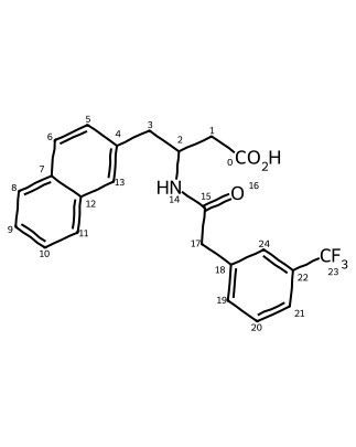 O=C(O)CC(Cc1ccc2ccccc2c1)NC(=O)Cc1cccc(C(F)(F)F)c1